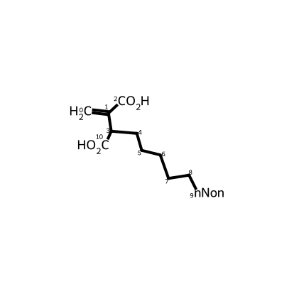 C=C(C(=O)O)C(CCCCCCCCCCCCCC)C(=O)O